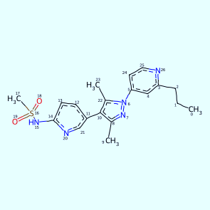 CCCc1cc(-n2nc(C)c(-c3ccc(NS(C)(=O)=O)nc3)c2C)ccn1